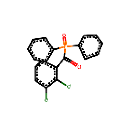 O=C(c1cccc(Cl)c1Cl)P(=O)(c1ccccc1)c1ccccc1